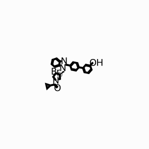 O=C(C1CC1)N1CC[C@@H](Cn2c(-c3ccc(-c4cccc(O)c4)cc3)nc3cccc(Br)c32)C1